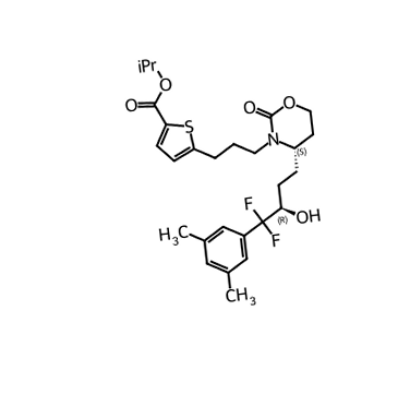 Cc1cc(C)cc(C(F)(F)[C@H](O)CC[C@H]2CCOC(=O)N2CCCc2ccc(C(=O)OC(C)C)s2)c1